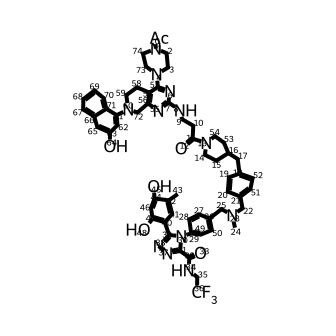 CC(=O)N1CCN(c2nc(NCCC(=O)N3CCC(Cc4ccc(CN(C)Cc5ccc(-n6c(C(=O)NCC(F)(F)F)nnc6-c6cc(C)c(O)cc6O)cc5)cc4)CC3)nc3c2CCN(c2cc(O)cc4ccccc24)C3)CC1